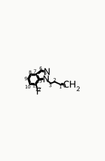 C=CCCn1ncc2cccc(F)c21